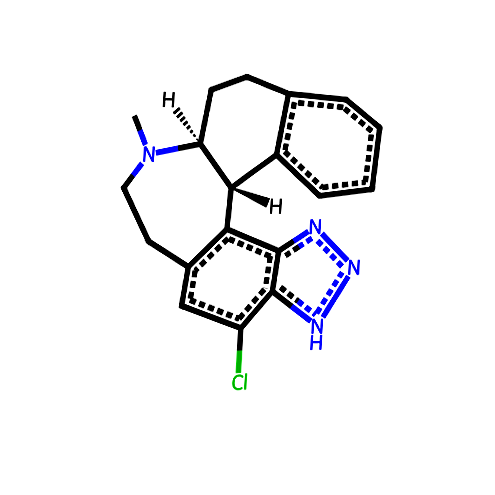 CN1CCc2cc(Cl)c3[nH]nnc3c2[C@H]2c3ccccc3CC[C@@H]21